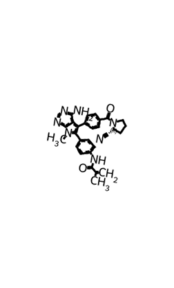 C=C(C)C(=O)Nc1ccc(-c2c(-c3ccc(C(=O)N4CCC[C@@H]4C#N)cc3)c3c(N)ncnc3n2C)cc1